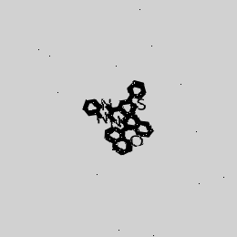 c1ccc2nc(-n3c4ccc5cccc6oc7cccc8ccc3c(c87)c4c56)c(-c3ccc4sc5ccccc5c4c3)nc2c1